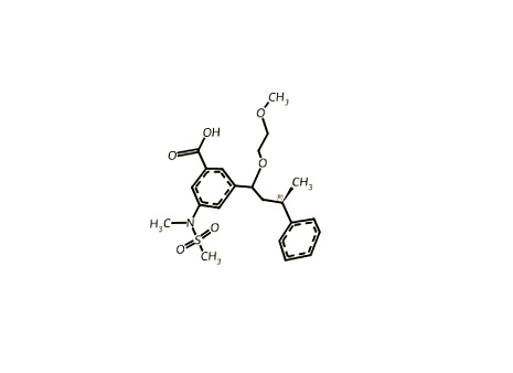 COCCOC(C[C@@H](C)c1ccccc1)c1cc(C(=O)O)cc(N(C)S(C)(=O)=O)c1